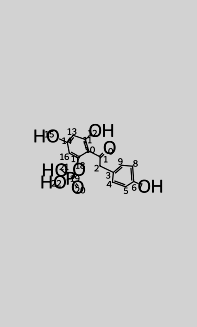 O=C(Cc1ccc(O)cc1)c1c(O)cc(O)cc1OP(=O)(O)O